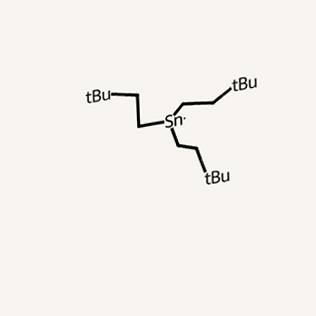 CC(C)(C)C[CH2][Sn]([CH2]CC(C)(C)C)[CH2]CC(C)(C)C